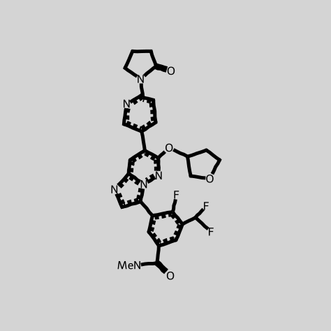 CNC(=O)c1cc(-c2cnc3cc(-c4ccc(N5CCCC5=O)nc4)c(OC4CCOC4)nn23)c(F)c(C(F)F)c1